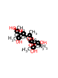 Cc1cc(Cc2ccc(O)c(C(c3cc(C)c(O)cc3C)c3cc(C)c(O)cc3C)c2)c(O)c(Cc2ccc(O)c(C(c3cc(C)c(O)cc3C)c3cc(C)c(O)cc3C)c2)c1